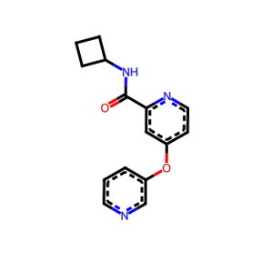 O=C(NC1CCC1)c1cc(Oc2cccnc2)ccn1